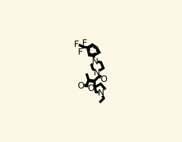 CCN1CCC2(C1)OC(=O)C(C)=C2C(=O)N1CCN(c2cccc(C(F)(F)F)c2)CC1